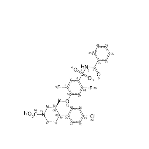 O=C(NS(=O)(=O)c1cc(F)c(OC[C@@H]2CN(C(=O)O)CC[C@H]2c2ccc(Cl)cc2)cc1F)c1ccccn1